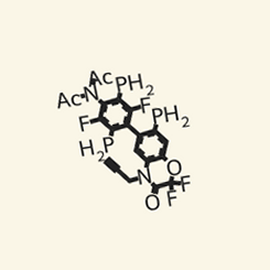 C#CCN1C(=O)C(F)(F)Oc2cc(P)c(-c3c(F)c(P)c(N(C(C)=O)C(C)=O)c(F)c3P)cc21